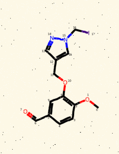 COc1ccc(C=O)cc1OCc1cnn(CI)c1